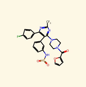 O=C(c1ccco1)N1CCN(c2nc(C(F)(F)F)nc(-c3ccc(F)cc3)c2-c2cccc(N[SH](=O)=O)c2)CC1